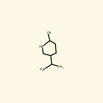 BC(C)C1CBC(C#N)CC1